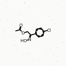 CC(=O)OCC(=NO)c1ccc(Cl)cc1